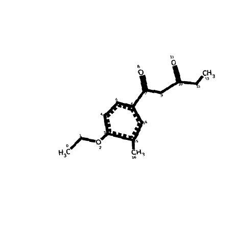 CCOc1ccc(C(=O)CC(=O)CC)cc1C